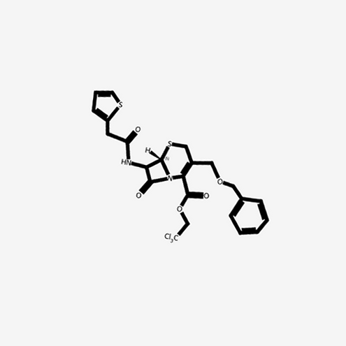 O=C(Cc1cccs1)NC1C(=O)N2C(C(=O)OCC(Cl)(Cl)Cl)=C(COCc3ccccc3)CS[C@@H]12